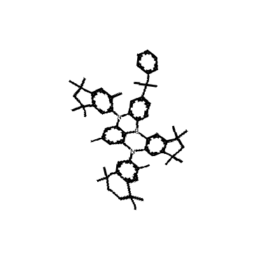 Cc1cc2c3c(c1)N(c1cc4c(cc1C)C(C)(C)CCC4(C)C)c1cc4c(cc1B3c1ccc(C(C)(C)c3ccccc3)cc1N2c1cc2c(cc1C)C(C)(C)CC2(C)C)C(C)(C)CC4(C)C